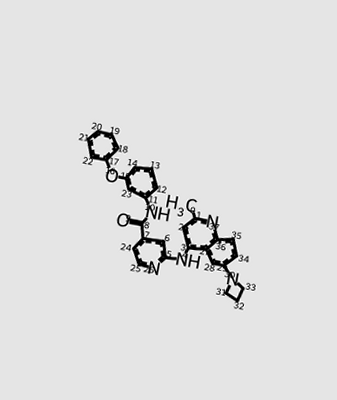 Cc1cc(Nc2cc(C(=O)Nc3cccc(Oc4ccccc4)c3)ccn2)c2cc(N3CCC3)ccc2n1